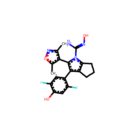 Cc1noc(C)c1-c1c(-c2cc(F)c(O)cc2F)c2c(n1/C(N)=N/O)CCC2